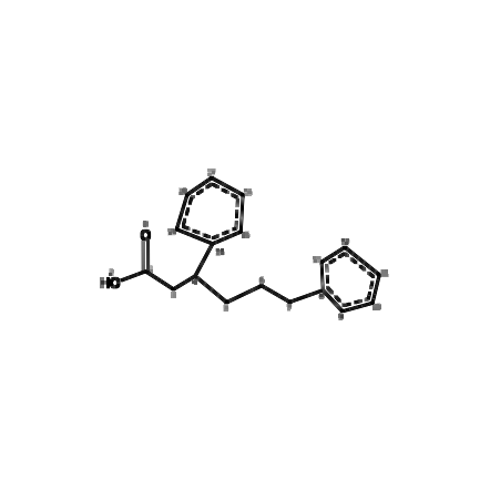 O=C(O)CC(CCCc1ccccc1)c1ccccc1